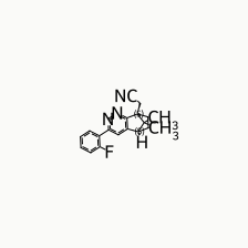 CC1(C)[C@@H]2CC[C@@]1(CC#N)c1nnc(-c3ccccc3F)cc12